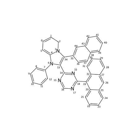 C1=CCN2C(=C1)N(c1ccccc1)C(c1ncnc(-c3c4ccccc4cc4ccccc34)n1)=C2c1ccc2ccccc2c1